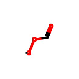 [O]OC=O